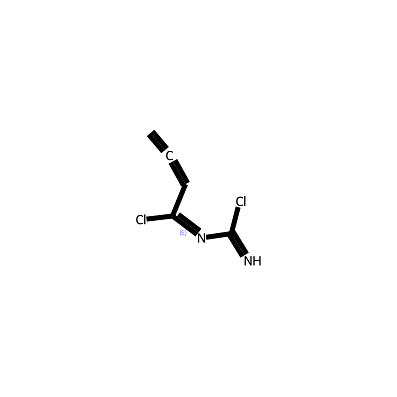 C=C=C/C(Cl)=N\C(=N)Cl